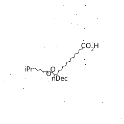 CCCCCCCCCCC(CCCCCCCCCCCCCC(=O)O)C(=O)OCCCCCC(C)C